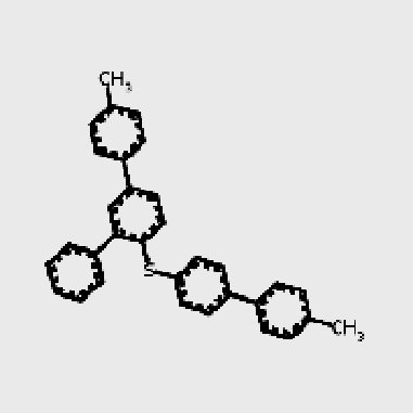 Cc1ccc(-c2ccc(Sc3ccc(-c4ccc(C)cc4)cc3-c3ccccc3)cc2)cc1